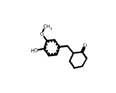 COc1cc(CC2CCCCC2=O)ccc1O